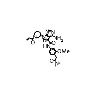 C=CC(=O)N1CCC[C@@H](n2nc(C(=O)Nc3ccc(CC(=O)N(C)C)c(OC)c3)c3c(N)ncnc32)C1